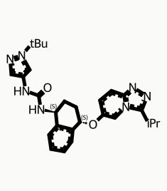 CC(C)c1nnc2ccc(O[C@H]3CC[C@H](NC(=O)Nc4cnn(C(C)(C)C)c4)c4ccccc43)cn12